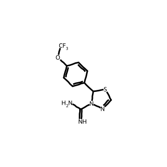 N=C(N)N1N=CSC1c1ccc(OC(F)(F)F)cc1